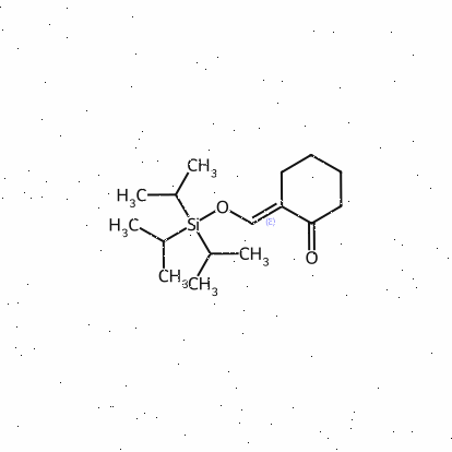 CC(C)[Si](O/C=C1\CCCCC1=O)(C(C)C)C(C)C